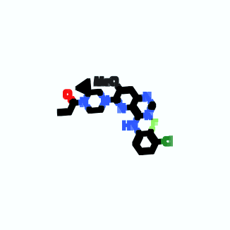 C=CC(=O)N1CCN(c2nc3c(Nc4cccc(Cl)c4F)ncnc3cc2OC)CC12CC2